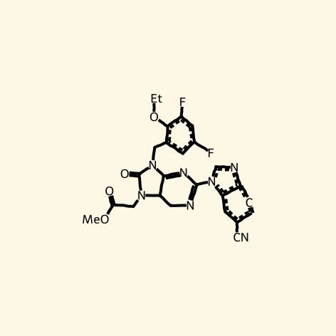 CCOc1c(F)cc(F)cc1CN1C(=O)N(CC(=O)OC)C2CN=C(n3cnc4ccc(C#N)cc43)N=C21